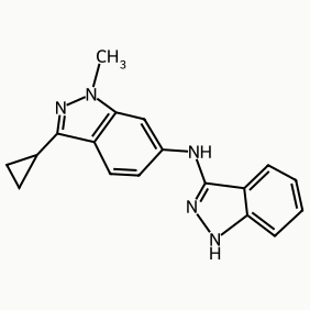 Cn1nc(C2CC2)c2ccc(Nc3n[nH]c4ccccc34)cc21